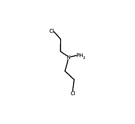 PN(CCCl)CCCl